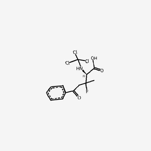 CC(F)(CC(=O)c1ccccc1)[C@@H](NC(Cl)(Cl)Cl)C(=O)O